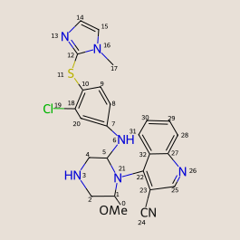 COC1CNCC(Nc2ccc(Sc3nccn3C)c(Cl)c2)N1c1c(C#N)cnc2ccccc12